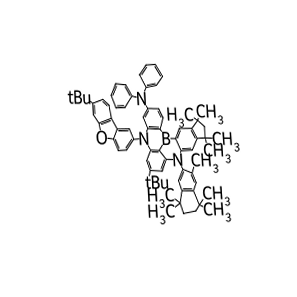 Cc1cc2c(cc1N1c3cc4c(cc3B3c5ccc(N(c6ccccc6)c6ccccc6)cc5N(c5ccc6oc7cc(C(C)(C)C)ccc7c6c5)c5cc(C(C)(C)C)cc1c53)C(C)(C)CC4(C)C)C(C)(C)CCC2(C)C